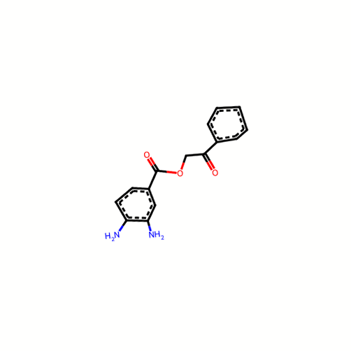 Nc1ccc(C(=O)OCC(=O)c2ccccc2)cc1N